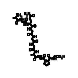 CC(N)C(=O)NCC(=O)NC(CCC(N)=O)C(=O)NCC(=O)NCC(=O)NCC(=O)NC(C)C(=O)NCC(=O)N1CCCC1C(=O)NCC(=O)O